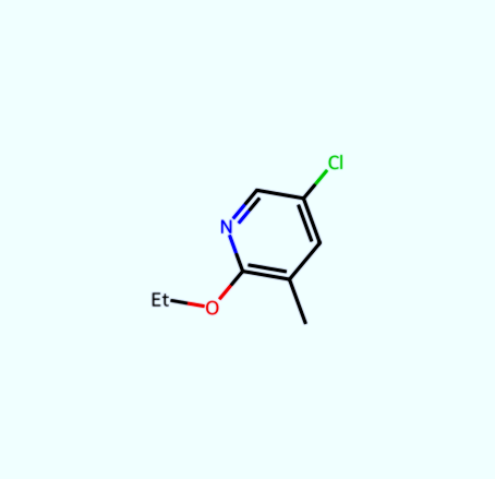 CCOc1ncc(Cl)cc1C